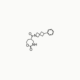 O=C1NC[C@H](C(=O)N2CC3(CC(c4ccccc4)C3)C2)CCO1